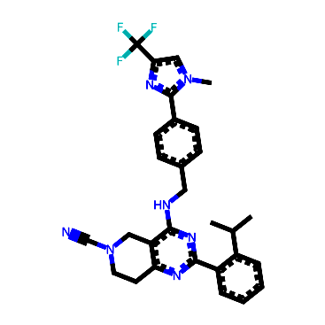 CC(C)c1ccccc1-c1nc2c(c(NCc3ccc(-c4nc(C(F)(F)F)cn4C)cc3)n1)CN(C#N)CC2